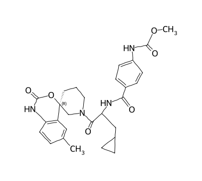 COC(=O)Nc1ccc(C(=O)NC(CC2CC2)C(=O)N2CCC[C@@]3(C2)OC(=O)Nc2ccc(C)cc23)cc1